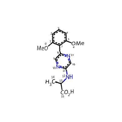 COc1cccc(OC)c1-c1cnc(NC(C)C(=O)O)cn1